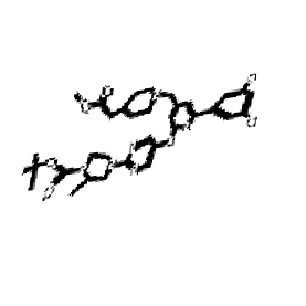 COC(=O)CC1CCN(Cc2cc(Oc3cnc(N4CCN(C(=O)OC(C)(C)C)C(C)C4)nc3)nc(-c3cc(Cl)cc(Cl)c3)c2)CC1